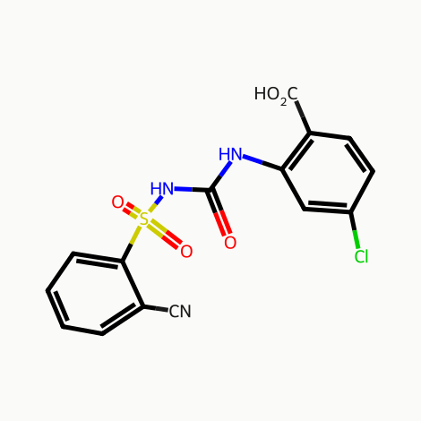 N#Cc1ccccc1S(=O)(=O)NC(=O)Nc1cc(Cl)ccc1C(=O)O